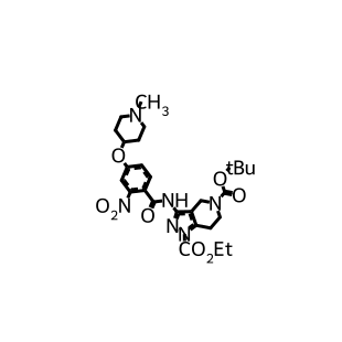 CCOC(=O)n1nc(NC(=O)c2ccc(OC3CCN(C)CC3)cc2[N+](=O)[O-])c2c1CCN(C(=O)OC(C)(C)C)C2